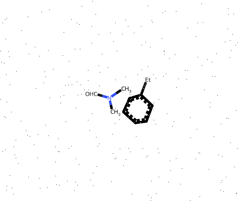 CCc1ccccc1.CN(C)C=O